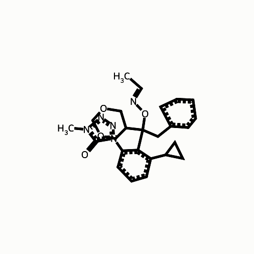 CC=NOC(Cc1ccccc1)(c1c(C2CC2)cccc1-n1nnn(C)c1=O)C1COCOC1